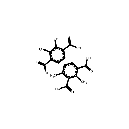 Cc1c(C(=O)O)ccc(C(=O)O)c1C.Cc1ccc(C(=O)O)c(C)c1C(=O)O